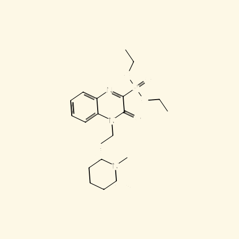 CCOP(=O)(OCC)c1nc2ccccc2n(CC[C@H]2CCC[C@@H](C)N2C)c1=O